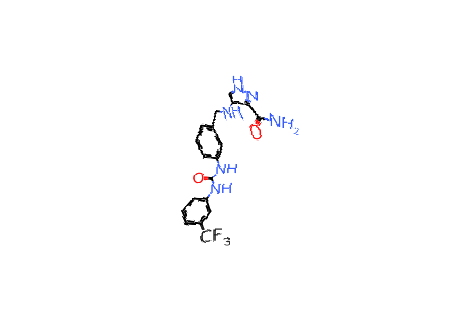 NC(=O)c1n[nH]cc1NCc1cccc(NC(=O)Nc2cccc(C(F)(F)F)c2)c1